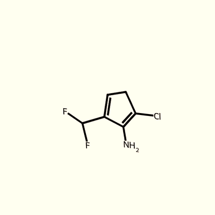 NC1=C(Cl)CC=C1C(F)F